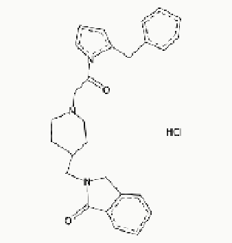 Cl.O=C1c2ccccc2CN1CC1CCN(CC(=O)n2cccc2Cc2ccccc2)CC1